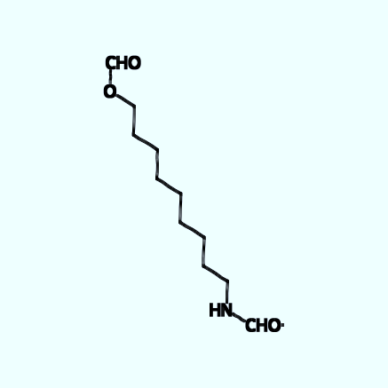 O=[C]NCCCCCCCCCOC=O